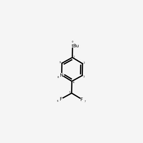 CC(C)(C)c1ccc(C(F)F)nc1